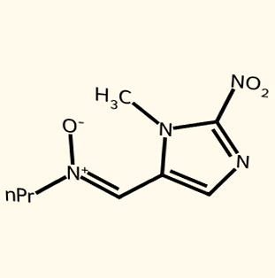 CCC[N+]([O-])=Cc1cnc([N+](=O)[O-])n1C